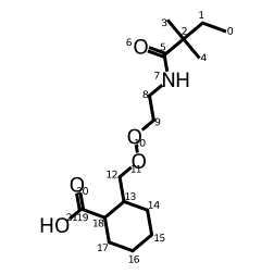 CCC(C)(C)C(=O)NCCOOCC1CCCCC1C(=O)O